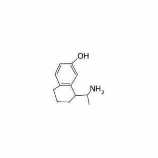 CC(N)C1CCCc2ccc(O)cc21